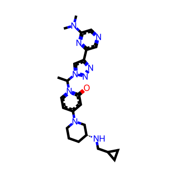 CC(n1cc(-c2cncc(N(C)C)n2)nn1)n1ccc(N2CCC[C@@H](NCC3CC3)C2)cc1=O